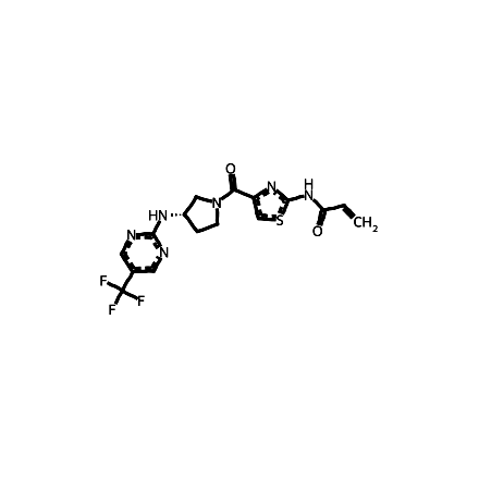 C=CC(=O)Nc1nc(C(=O)N2CC[C@H](Nc3ncc(C(F)(F)F)cn3)C2)cs1